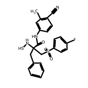 Cc1cc(NC(=O)C(Cc2ccccc2)(CS(=O)(=O)c2ccc(F)cc2)NS)ccc1C#N